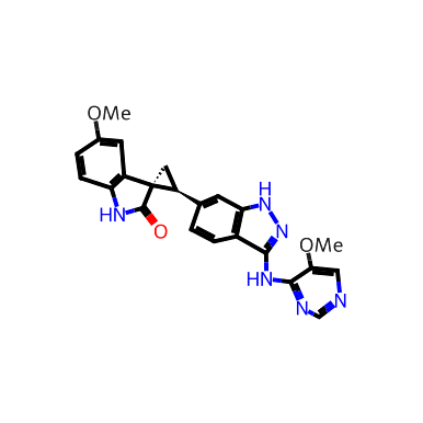 COc1ccc2c(c1)[C@]1(C[C@H]1c1ccc3c(Nc4ncncc4OC)n[nH]c3c1)C(=O)N2